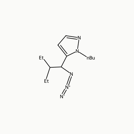 CCCCn1nccc1C(N=[N+]=[N-])C(CC)CC